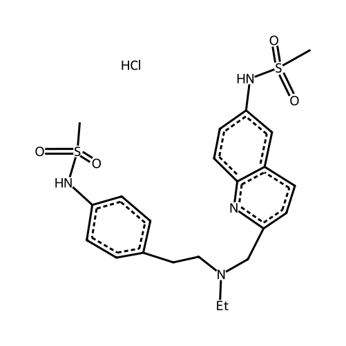 CCN(CCc1ccc(NS(C)(=O)=O)cc1)Cc1ccc2cc(NS(C)(=O)=O)ccc2n1.Cl